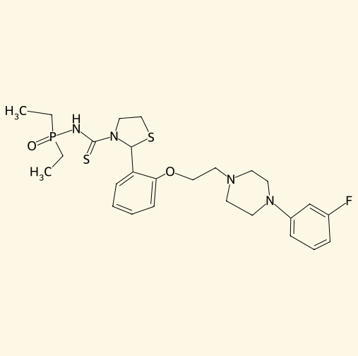 CCP(=O)(CC)NC(=S)N1CCSC1c1ccccc1OCCN1CCN(c2cccc(F)c2)CC1